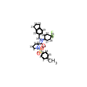 Cc1ccc(S(=O)(=O)N2CCC[C@H]2C(=O)N(Cc2ccc3c(c2)CCC3)C2CCC(F)(F)CC2)cc1